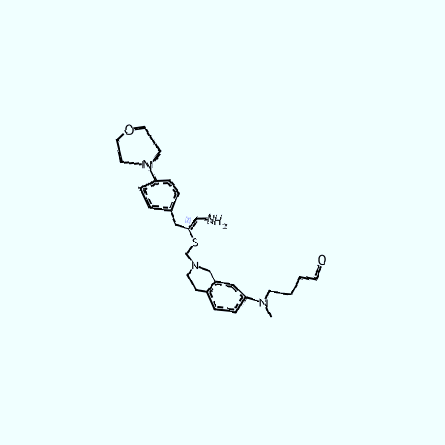 CN(CCCC=O)c1ccc2c(c1)CN(CS/C(=C\N)Cc1ccc(N3CCOCC3)cc1)CC2